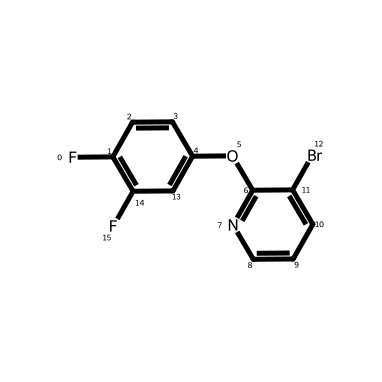 Fc1ccc(Oc2ncccc2Br)cc1F